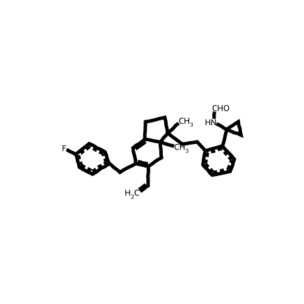 C=CC1=C(Cc2ccc(F)cc2)C=C2CCC(C)(CCc3ccccc3C3(NC=O)CC3)C2(C)C1